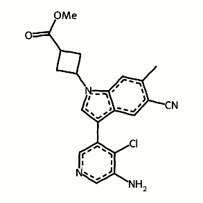 COC(=O)C1CC(n2cc(-c3cncc(N)c3Cl)c3cc(C#N)c(C)cc32)C1